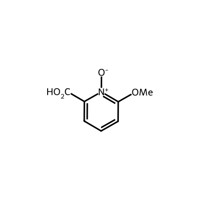 COc1cccc(C(=O)O)[n+]1[O-]